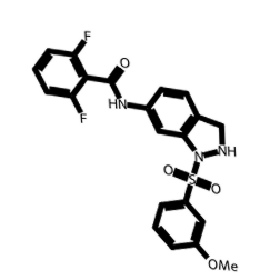 COc1cccc(S(=O)(=O)N2NCc3ccc(NC(=O)c4c(F)cccc4F)cc32)c1